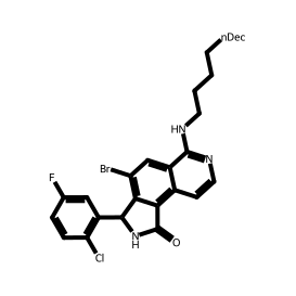 CCCCCCCCCCCCCCNc1nccc2c3c(c(Br)cc12)C(c1cc(F)ccc1Cl)NC3=O